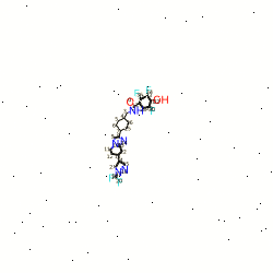 O=C(NCC1CCC(c2cn3ccc(-c4cnn(C(F)F)c4)cc3n2)CC1)c1cc(F)c(O)c(F)c1F